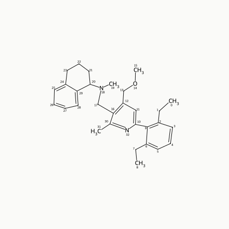 CCc1cccc(CC)c1-c1cc(COC)c(CN(C)C2CCCc3ccccc32)c(C)n1